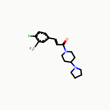 O=C(C=Cc1ccc(F)c(C(F)(F)F)c1)N1CCC(N2CCCC2)CC1